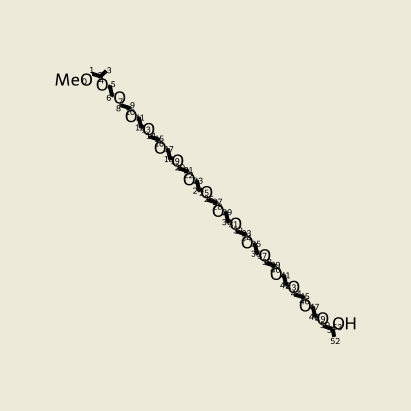 COCC(C)OCCOCCOCCOCCOCCOCCOCCOCCOCCOCCOCCOCCOCCOCCOCCOCC(C)O